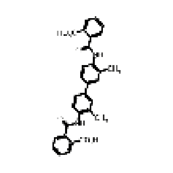 Cc1cc(-c2ccc(NC(=O)c3ccccc3C(=O)O)c(C)c2)ccc1NC(=O)c1ccccc1C(=O)O